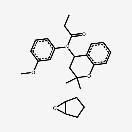 C1CC2OC2C1.CCC(=O)N(c1cccc(OC)c1)C1CC(C)(C)Oc2ccccc21